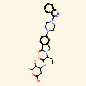 CC[C@@H](C(=O)NC(CC(=O)O)C(=O)CF)N1Cc2cc(N3CCN(c4nsc5ccccc45)CC3)ccc2C1=O